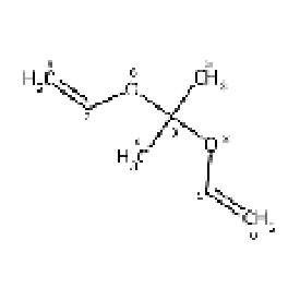 C=COC(C)(C)OC=C